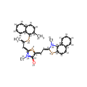 C=C(/C=c1\s/c(=C\C=C2/Sc3ccc4ccccc4c3N2CC)c(=O)n1CC)Sc1c(C)ccc2ccccc12